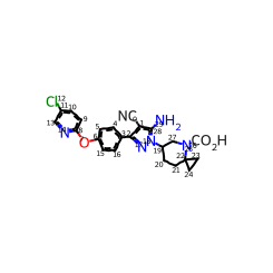 N#Cc1c(-c2ccc(Oc3ccc(Cl)cn3)cc2)nn(C2CCC3(CC3)N(C(=O)O)C2)c1N